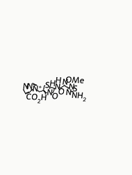 CON=C(C(=O)N[C@@H]1C(=O)N2C(C(=O)O)=C(C[n+]3ccn4ncccc43)CS[C@H]12)c1nsc(N)n1